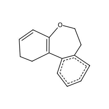 C1=CC2=C(CC1)c1ccccc1CCO2